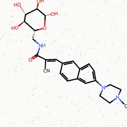 CN1CCN(c2ccc3cc(/C=C(\C#N)C(=O)NC[C@H]4O[C@@H](O)[C@H](O)[C@@H](O)[C@@H]4O)ccc3c2)CC1